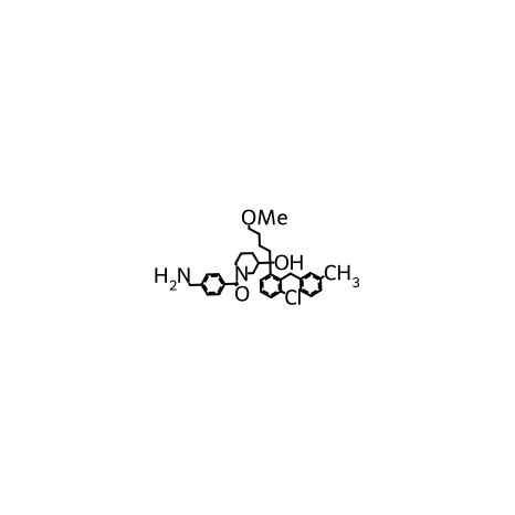 COCCCCC(O)(c1cccc(Cl)c1Cc1cccc(C)c1)C1CCCN(C(=O)c2ccc(CN)cc2)C1